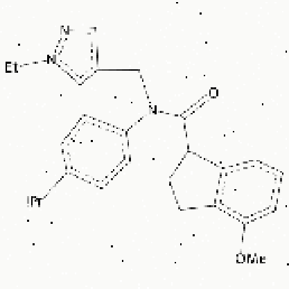 CCn1cc(CN(C(=O)C2CCc3c(OC)cccc32)c2ccc(C(C)C)cc2)cn1